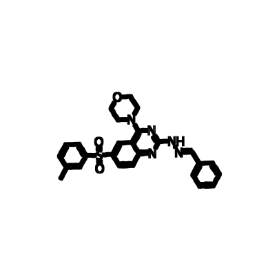 Cc1cccc(S(=O)(=O)c2ccc3nc(N/N=C/c4ccccc4)nc(N4CCOCC4)c3c2)c1